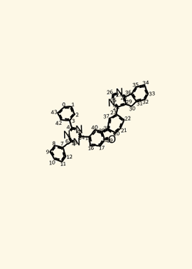 c1ccc(-c2nc(-c3ccccc3)nc(-c3ccc4oc5ccc(-c6ncnc7c6Cc6ccccc6-7)cc5c4c3)n2)cc1